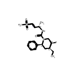 CC[C@H]1C[C@@H](c2ccccc2)N(C(=O)N[C@@H](C)/C=C/S(C)(=O)=O)C[C@H]1F